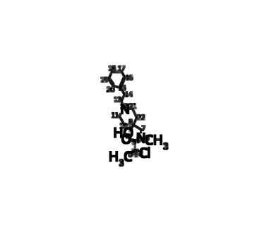 C[C@H](Cl)C(=O)N(C)CC1(O)CCN(CCc2ccccc2)CC1